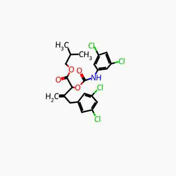 C=C(Cc1cc(Cl)cc(Cl)c1)C(OC(=O)Nc1cc(Cl)cc(Cl)c1)C(=O)OCC(C)C